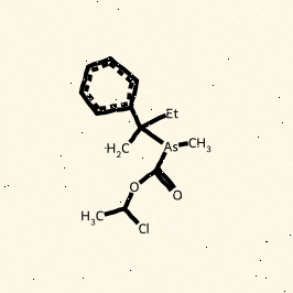 [CH2]C(CC)(c1ccccc1)[As](C)C(=O)OC(C)Cl